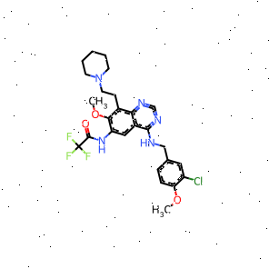 COc1ccc(CNc2ncnc3c(CCN4CCCCC4)c(OC)c(NC(=O)C(F)(F)F)cc23)cc1Cl